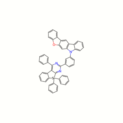 c1ccc(-c2nc(-c3cccc(-n4c5ccccc5c5cc6c(cc54)oc4ccccc46)c3)nc3c2-c2ccccc2[Si]3(c2ccccc2)c2ccccc2)cc1